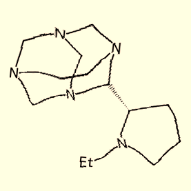 CCN1CCC[C@H]1C1N2CN3CN(C2)CN1C3